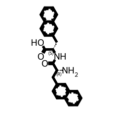 N[C@H](Cc1ccc2ccccc2c1)C(=O)N[C@@H](Cc1ccc2ccccc2c1)C(=O)O